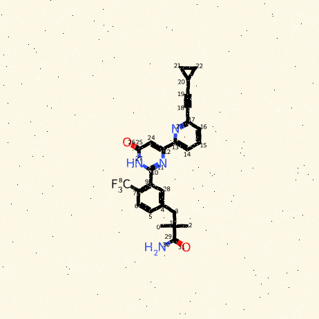 CC(C)(Cc1ccc(C(F)(F)F)c(-c2nc(-c3cccc(C#CC4CC4)n3)cc(=O)[nH]2)c1)C(N)=O